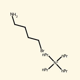 CCC[N+](CCC)(CCC)CCC.NCCCCBr